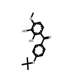 COc1ccc(C(=O)c2ccc(OC(C)(C)C)cc2)c(O)c1O